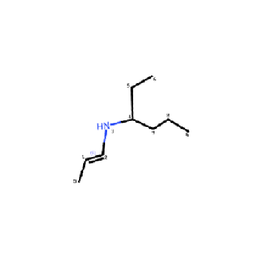 C/C=C/NC(CC)CCC